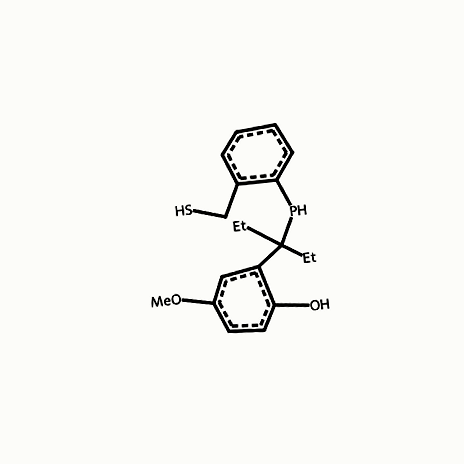 CCC(CC)(Pc1ccccc1CS)c1cc(OC)ccc1O